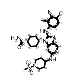 CS(=O)(=O)N1CCC(Nc2ncc3nc(Nc4ccc(Cl)c(F)c4F)n([C@H]4CC[C@@H](C(N)=O)CC4)c3n2)CC1